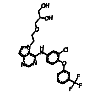 OCC(O)COCCn1ccc2ncnc(Nc3ccc(Oc4cccc(C(F)(F)F)c4)c(Cl)c3)c21